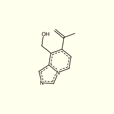 C=C(C)c1ccn2cncc2c1CO